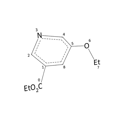 CCOC(=O)c1cncc(OCC)c1